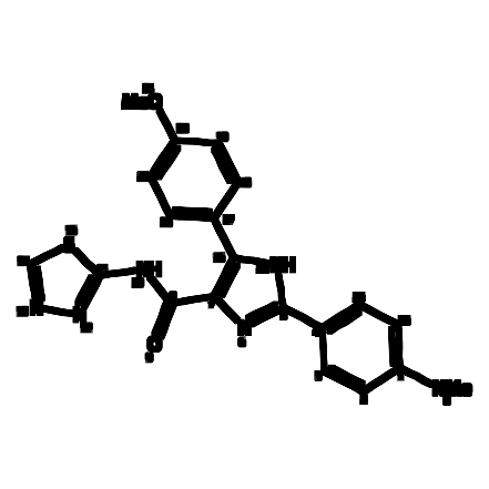 CNc1ccc(-c2nc(C(=O)Nc3nncs3)c(-c3ccc(OC)cc3)[nH]2)cc1